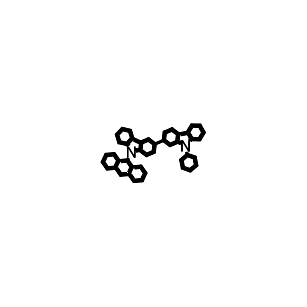 c1ccc(-n2c3ccccc3c3ccc(-c4ccc5c(c4)c4ccccc4n5-c4c5ccccc5cc5ccccc45)cc32)cc1